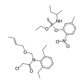 C/C=C/COCN(C(=O)CCl)c1c(CC)cccc1CC.CCOP(=S)(NC(C)CC)Oc1cc(C)ccc1[N+](=O)[O-]